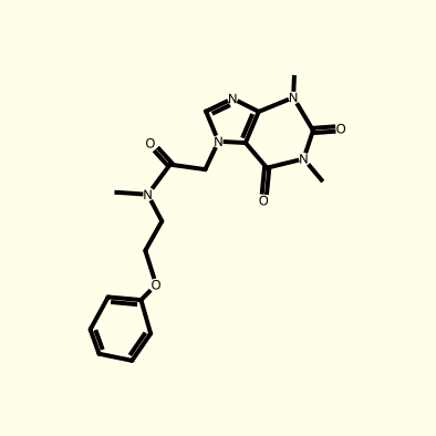 CN(CCOc1ccccc1)C(=O)Cn1cnc2c1c(=O)n(C)c(=O)n2C